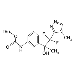 Cn1cnnc1C(F)(F)C(C)(O)c1cccc(NC(=O)OC(C)(C)C)c1